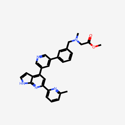 COC(=O)CN(C)Cc1cccc(-c2cncc(-c3cc(-c4cccc(C)n4)nc4[nH]ccc34)c2)c1